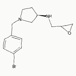 Brc1ccc(CN2CC[C@@H](NCC3CO3)C2)cc1